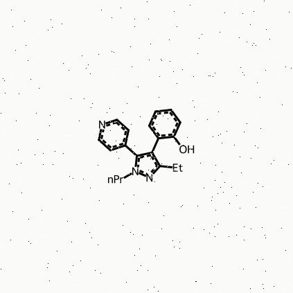 CCCn1nc(CC)c(-c2ccccc2O)c1-c1ccncc1